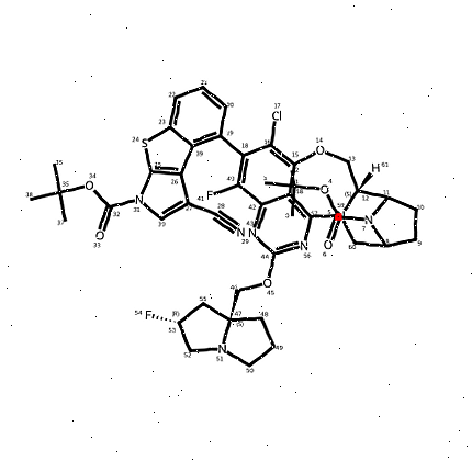 CC(C)(C)OC(=O)N1C2CCC1[C@H]1COc3c(Cl)c(-c4cccc5sc6c(c(C#N)cn6C(=O)OC(C)(C)C)c45)c(F)c4nc(OC[C@@]56CCCN5C[C@H](F)C6)nc(c34)N1C2